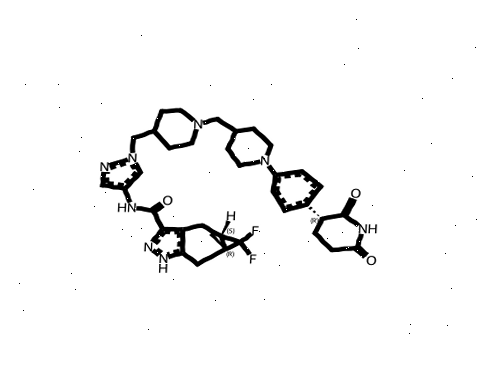 C[C@@]12Cc3[nH]nc(C(=O)Nc4cnn(CC5CCN(CC6CCN(c7ccc([C@H]8CCC(=O)NC8=O)cc7)CC6)CC5)c4)c3C[C@@H]1C2(F)F